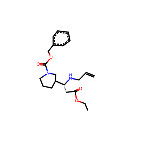 C=CCN[C@H](CC(=O)OCC)C1CCCN(C(=O)OCc2ccccc2)C1